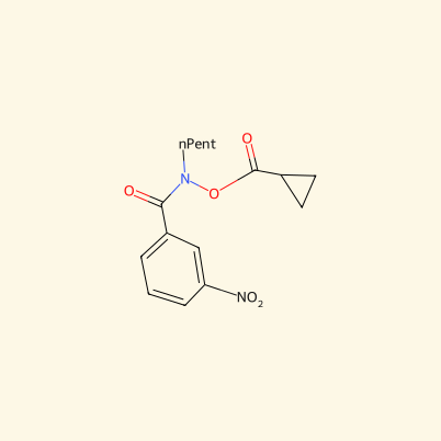 CCCCCN(OC(=O)C1CC1)C(=O)c1cccc([N+](=O)[O-])c1